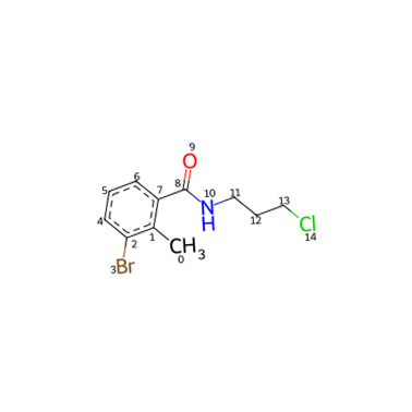 Cc1c(Br)cccc1C(=O)NCCCCl